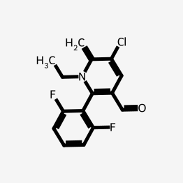 C=C1C(Cl)=CC(C=O)=C(c2c(F)cccc2F)N1CC